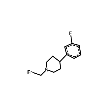 C[C](C)CN1CCC(c2cccc(F)c2)CC1